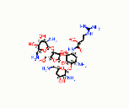 N=C(N)NCC[C@H](O)C(=O)N[C@@H]1C[C@H](N)[C@@H](O[C@H]2O[C@H](CN)C[C@H](O)[C@H]2N)[C@H](O[C@@H]2O[C@H](CO)[C@@H](O[C@H]3O[C@@H](CN)[C@@H](O)[C@H](O)[C@H]3N)[C@H]2O)[C@H]1O